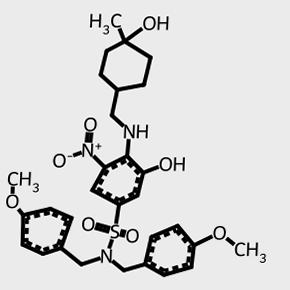 COc1ccc(CN(Cc2ccc(OC)cc2)S(=O)(=O)c2cc(O)c(NCC3CCC(C)(O)CC3)c([N+](=O)[O-])c2)cc1